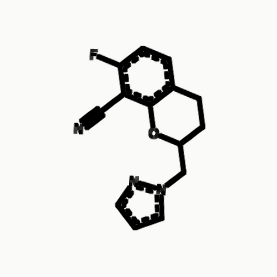 N#Cc1c(F)ccc2c1OC(Cn1cccn1)CC2